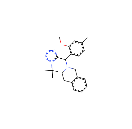 COc1cc(C)ccc1C(c1nnnn1C(C)(C)C)N1CCc2ccccc2C1